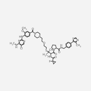 CNc1nc(Nc2ccc(C(=O)N3CCN(CCOCCSC(C)(C)C(NC(=O)C4(F)CC4)C(=O)N4CCCC4C(=O)NCc4ccc(-c5scnc5C)cc4)CC3)cc2OC)ncc1Cl